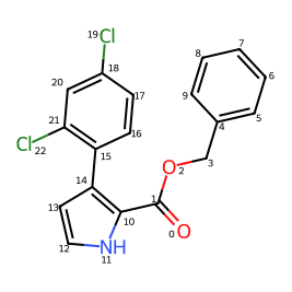 O=C(OCc1ccccc1)c1[nH]ccc1-c1ccc(Cl)cc1Cl